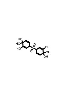 O=S(=O)(C1C=CC(O)(O)C(O)=C1)C1C=CC(O)(O)C(O)=C1